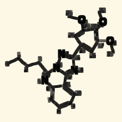 CCCCc1nc2ccccc2c2nc(-c3cc(OC)c(OC)c(OC)c3)nn12